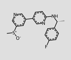 C[C@@H](Nc1ccc(-c2cncc([S+](C)[O-])c2)cn1)c1ccc(F)cc1